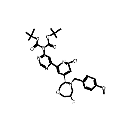 COc1ccc(CN2C[C@@H](F)COC[C@H]2c2cc(Cl)nc(-c3cc(N(C(=O)OC(C)(C)C)C(=O)OC(C)(C)C)ncn3)c2)cc1